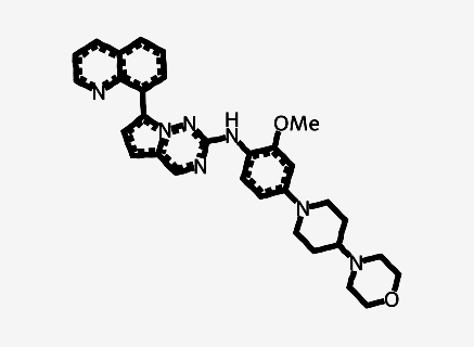 COc1cc(N2CCC(N3CCOCC3)CC2)ccc1Nc1ncc2ccc(-c3cccc4cccnc34)n2n1